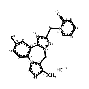 Cc1ncn2c1Cn1nc(Cn3ccccc3=O)nc1-c1cc(I)ccc1-2.Cl